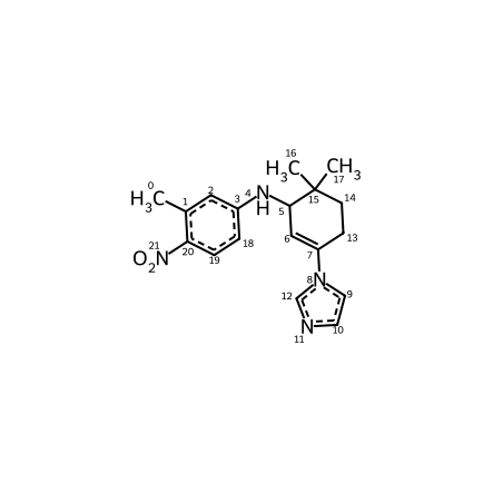 Cc1cc(NC2C=C(n3ccnc3)CCC2(C)C)ccc1[N+](=O)[O-]